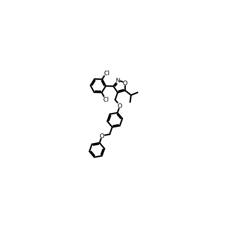 CC(C)c1onc(-c2c(Cl)cccc2Cl)c1COc1ccc(COc2ccccc2)cc1